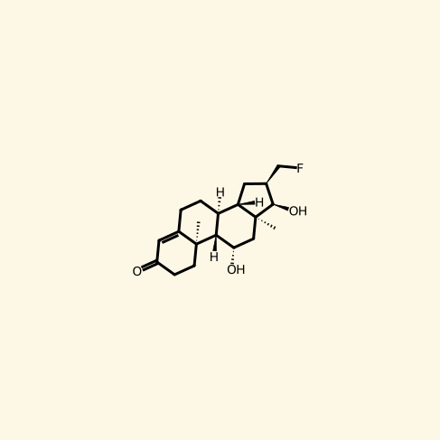 C[C@]12C[C@H](O)[C@H]3[C@@H](CCC4=CC(=O)CC[C@@]43C)[C@@H]1C[C@@H](CF)[C@H]2O